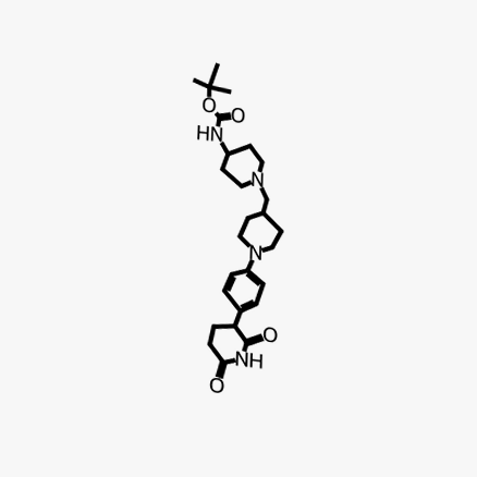 CC(C)(C)OC(=O)NC1CCN(CC2CCN(c3ccc(C4CCC(=O)NC4=O)cc3)CC2)CC1